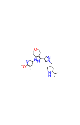 COc1ncc(-n2nc(-c3cnn(C[C@@H]4CCN[C@H](C(C)C)C4)c3)c3c2CCOCC3)cc1C